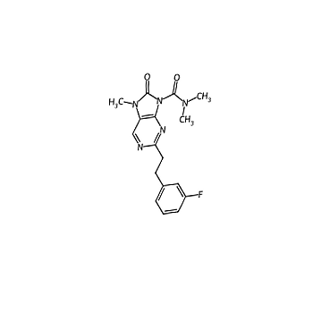 CN(C)C(=O)n1c(=O)n(C)c2cnc(CCc3cccc(F)c3)nc21